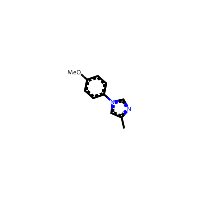 COc1ccc(-n2cnc(C)c2)cc1